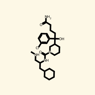 CNCC(CC1CCCCC1)NC(=O)N1CCCC(C(O)(CCCC(N)=O)c2cccc(Cl)c2)C1